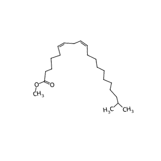 COC(=O)CCCC/C=C\C/C=C\CCCCCCCCC(C)C